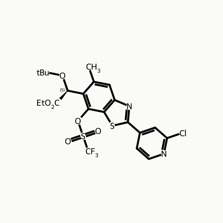 CCOC(=O)[C@@H](OC(C)(C)C)c1c(C)cc2nc(-c3ccnc(Cl)c3)sc2c1OS(=O)(=O)C(F)(F)F